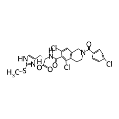 CSc1nc(C[C@H](NC(=O)c2c(Cl)cc3c(c2Cl)CCN(C(=O)c2ccc(Cl)cc2)C3)C(=O)O)c[nH]1